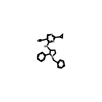 N#Cc1cnc(C2CC2)nc1NC1CCN(Cc2ccccc2)C1c1ccccc1